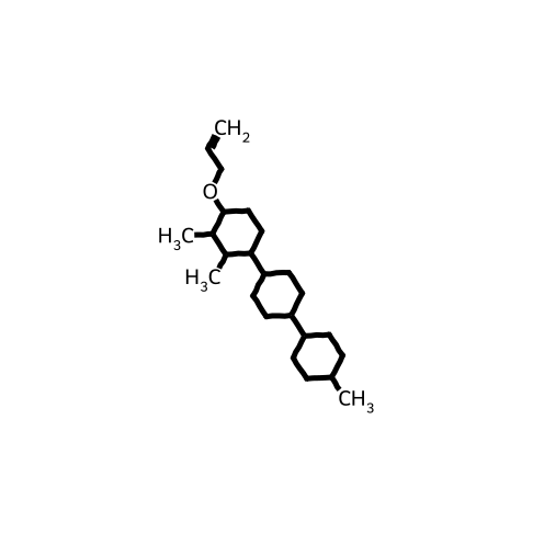 C=CCOC1CCC(C2CCC(C3CCC(C)CC3)CC2)C(C)C1C